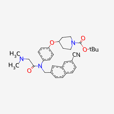 CN(C)CC(=O)N(Cc1ccc2ccc(C#N)cc2c1)c1ccc(OC2CCN(C(=O)OC(C)(C)C)CC2)cc1